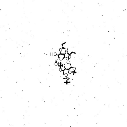 CCC(=O)O[C@@H]1[C@H](OOC[C@H]2OC(C)(C)O[C@H]2[C@@H]2OC(C)(C)O[C@@H]2CO[Si](C)(C)C(C)(C)C)O[C@H](CO)[C@@H](O)[C@@H]1OC(=O)CC